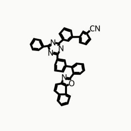 N#Cc1cccc(-c2cccc(-c3nc(-c4ccccc4)nc(-c4cccc(-c5ccccc5-c5nc6ccc7ccccc7c6o5)c4)n3)c2)c1